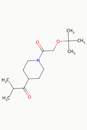 CC(C)C(=O)C1CCN(C(=O)COC(C)(C)C)CC1